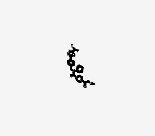 CC(C)(C)OC(=O)N1CCN(C(=S)N(Cc2ccc(-c3nnc(C(F)F)o3)cc2)c2ccccc2)CC1